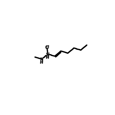 CCCCC=C[SiH](Cl)NC